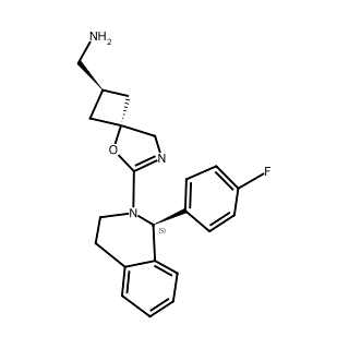 NC[C@H]1C[C@@]2(CN=C(N3CCc4ccccc4[C@@H]3c3ccc(F)cc3)O2)C1